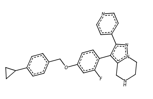 Fc1cc(OCc2ccc(C3CC3)cc2)ccc1-c1c(-c2ccncc2)nn2c1CNCC2